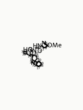 COc1ccc(NC(=O)CN2C[C@]3(CC[C@](c4ccccc4)(N(C)C)CC3)N(CC3CCC3)C2O)nc1